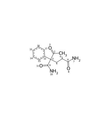 CC(=O)C(CCC(N)=O)(C(N)=O)c1ccccc1